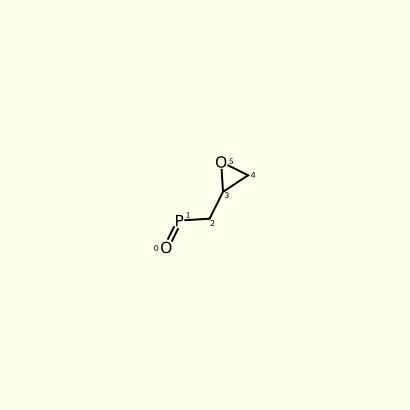 O=PCC1CO1